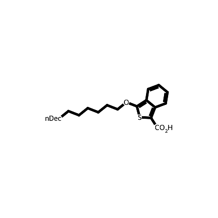 CCCCCCCCCCCCCCCCOc1sc(C(=O)O)c2ccccc12